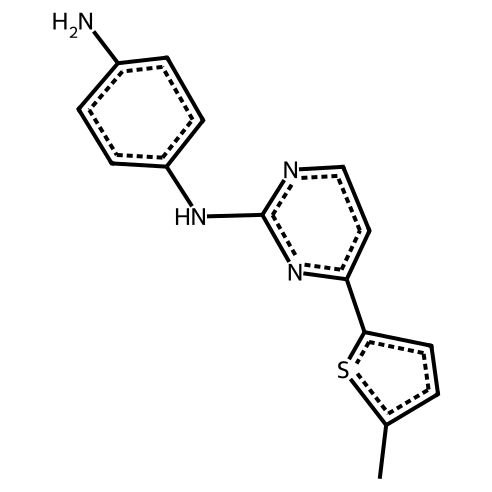 Cc1ccc(-c2ccnc(Nc3ccc(N)cc3)n2)s1